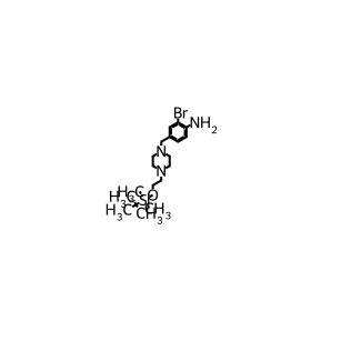 CC(C)(C)[Si](C)(C)OCCN1CCN(Cc2ccc(N)c(Br)c2)CC1